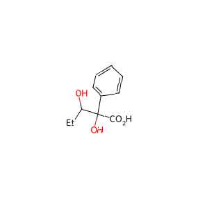 CCC(O)C(O)(C(=O)O)c1ccccc1